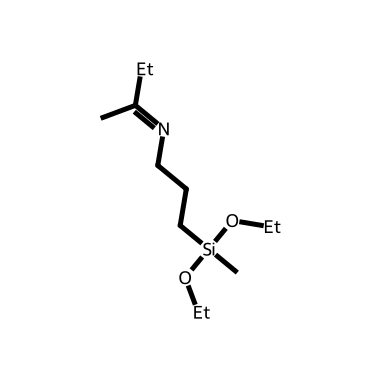 CCO[Si](C)(CCCN=C(C)CC)OCC